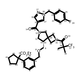 CCOC(=O)C1(c2cccc(COC[C@@H]3CN(C(=O)c4cnn(Cc5ccc(F)cc5)c4)CC34CN(C(=O)C(C)(C)C(F)(F)F)C4)c2)CCCC1